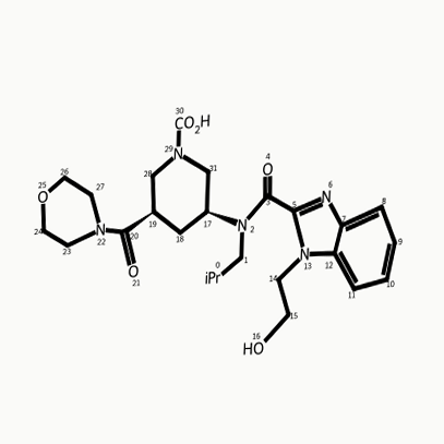 CC(C)CN(C(=O)c1nc2ccccc2n1CCO)[C@H]1C[C@@H](C(=O)N2CCOCC2)CN(C(=O)O)C1